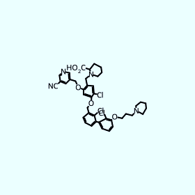 N#Cc1cncc(COc2cc(OCc3cccc(-c4cccc(OCCCN5CCCCC5)c4Cl)c3Cl)c(Cl)cc2CN2CCCCC2C(=O)O)c1